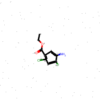 CCOC(=O)c1cc(N)c(F)cc1Cl